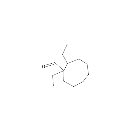 CCC1CCCCCCC1(C=O)CC